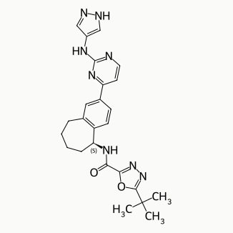 CC(C)(C)c1nnc(C(=O)N[C@H]2CCCCc3cc(-c4ccnc(Nc5cn[nH]c5)n4)ccc32)o1